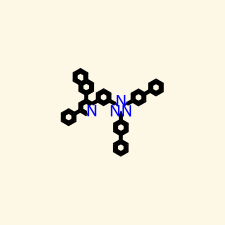 c1ccc(-c2ccc(-c3nc(-c4ccc(-c5ccccc5)cc4)nc(-c4cccc(-c5ncc(-c6ccccc6)cc5-c5ccc6ccccc6c5)c4)n3)cc2)cc1